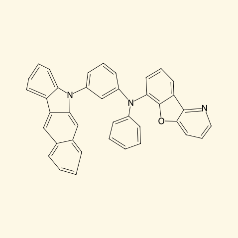 c1ccc(N(c2cccc(-n3c4ccccc4c4cc5ccccc5cc43)c2)c2cccc3c2oc2cccnc23)cc1